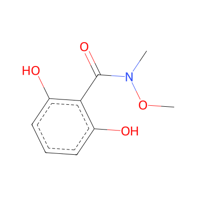 CON(C)C(=O)c1c(O)cccc1O